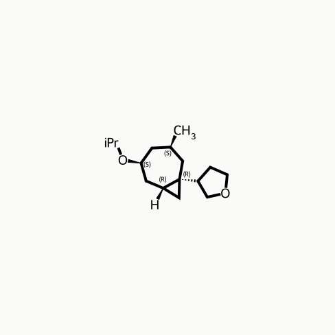 CC(C)O[C@H]1C[C@@H](C)C[C@@]2(C3CCOC3)C[C@@H]2C1